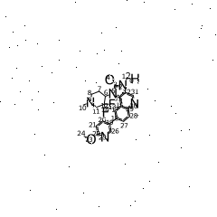 [2H]Cn1c(=O)n(C2CCN(C)CC2(F)F)c2c3cc(-c4ccc(OC)nc4)ccc3ncc21